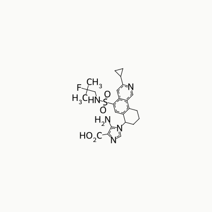 CC(C)(F)CNS(=O)(=O)c1cc2c(c3cnc(C4CC4)cc13)CCCC2n1cnc(C(=O)O)c1N